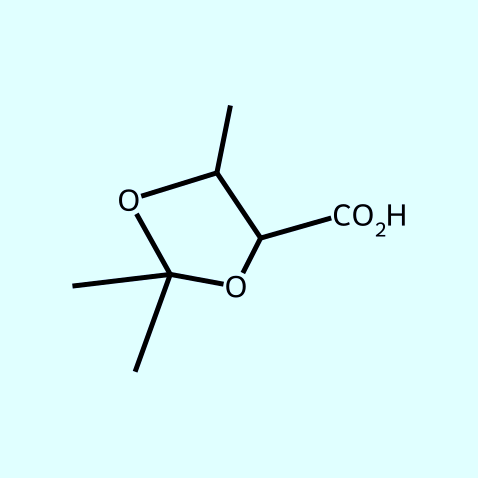 CC1OC(C)(C)OC1C(=O)O